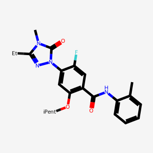 CCCC(C)Oc1cc(-n2nc(CC)n(C)c2=O)c(F)cc1C(=O)Nc1ccccc1C